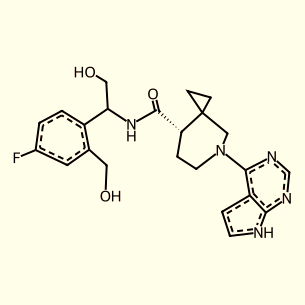 O=C(NC(CO)c1ccc(F)cc1CO)[C@H]1CCN(c2ncnc3[nH]ccc23)CC12CC2